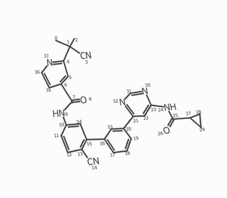 CC(C)(C#N)c1cc(C(=O)Nc2ccc(C#N)c(-c3cccc(-c4cc(NC(=O)C5CC5)ncn4)c3)c2)ccn1